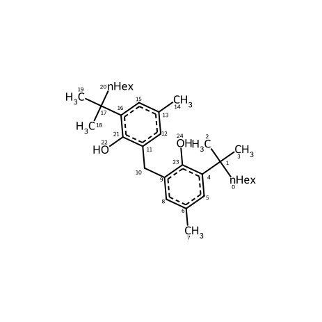 CCCCCCC(C)(C)c1cc(C)cc(Cc2cc(C)cc(C(C)(C)CCCCCC)c2O)c1O